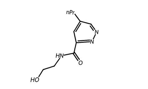 CCCc1cnnc(C(=O)NCCO)c1